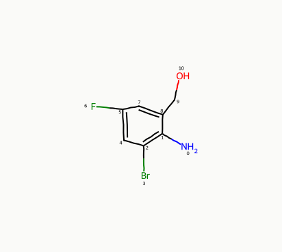 Nc1c(Br)cc(F)cc1CO